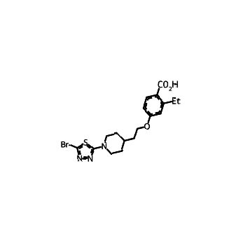 CCc1cc(OCCC2CCN(c3nnc(Br)s3)CC2)ccc1C(=O)O